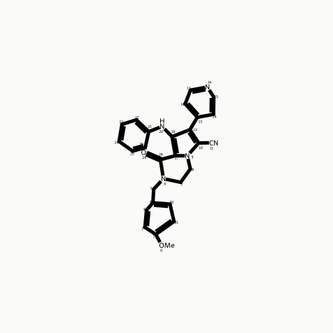 COc1ccc(CN2CCn3c(C#N)c(-c4ccncc4)c(Nc4ccccc4)c3C2=O)cc1